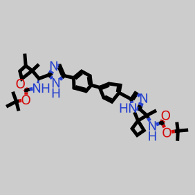 CC1CCC1(C)[C@H](NC(=O)OC(C)(C)C)c1ncc(-c2ccc(-c3ccc(-c4cnc(C(C)(NC(=O)OC(C)(C)C)C5(C)CCC5)[nH]4)cc3)cc2)[nH]1